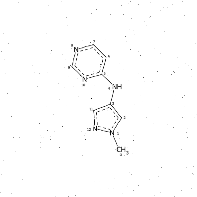 Cn1cc(Nc2ccncn2)cn1